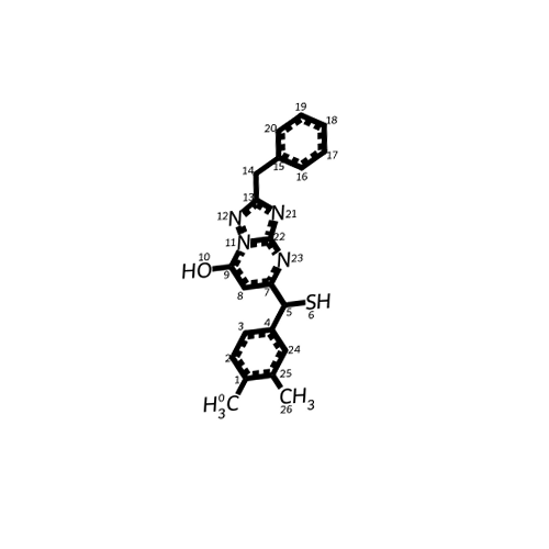 Cc1ccc(C(S)c2cc(O)n3nc(Cc4ccccc4)nc3n2)cc1C